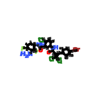 Nc1c(F)ccc(NC(=O)c2cc(NC(=O)C3C(c4ccc(Br)cc4)C3(Cl)Cl)ccc2Cl)c1F